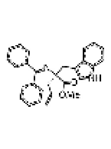 C=CC[C@@](Cc1c[nH]c2ccccc12)(N=C(c1ccccc1)c1ccccc1)C(=O)OC